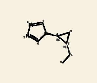 CC[C@H]1C[C@@H]1C1C=NN=C1